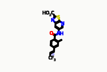 Cc1cc(/C=C/C(F)(F)F)ccc1C(=O)Nc1cnc2sc(C(=O)O)nc2c1